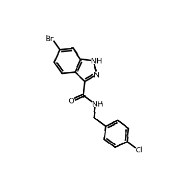 O=C(NCc1ccc(Cl)cc1)c1n[nH]c2cc(Br)ccc12